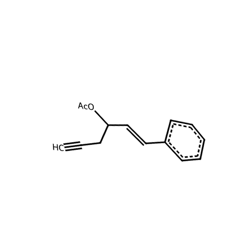 C#CCC(C=Cc1ccccc1)OC(C)=O